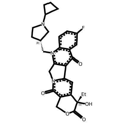 CC[C@@]1(O)C(=O)OCc2c1cc1n(c2=O)Cc2c-1c(=O)c1cc(F)ccc1n2C[C@@H]1CCN(C2CCC2)C1